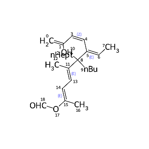 C=C(O)/C=C\C(=C/C)C(CCCC)(CCCCCCC)/C(C)=C/C=C(\C)OC=O